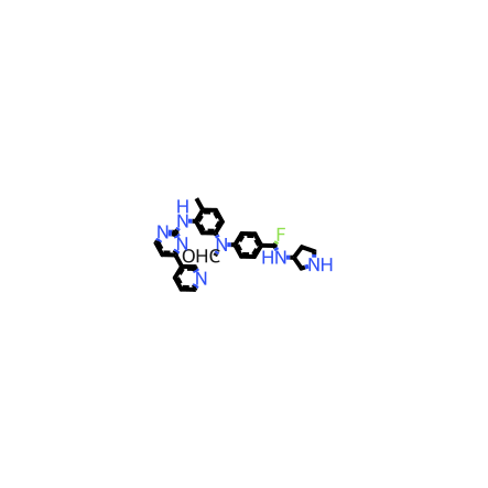 Cc1ccc(N(C=O)c2ccc(C(F)NC3CCNC3)cc2)cc1Nc1nccc(-c2cccnc2)n1